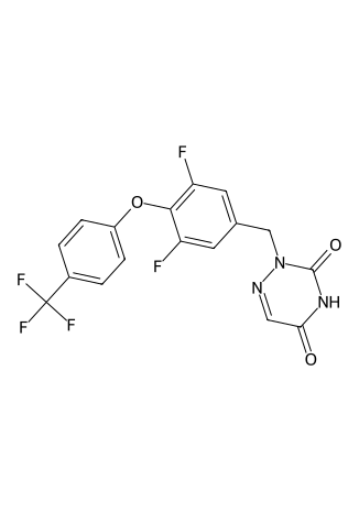 O=c1cnn(Cc2cc(F)c(Oc3ccc(C(F)(F)F)cc3)c(F)c2)c(=O)[nH]1